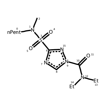 CCCCCN(C)S(=O)(=O)c1ncn(C(=O)N(CC)CC)n1